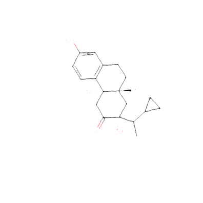 CC(C1CC1)[C@]1(O)C[C@H]2CCc3cc(O)ccc3[C@@H]2CC1=O